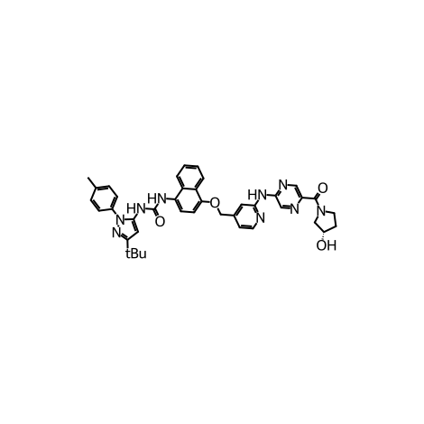 Cc1ccc(-n2nc(C(C)(C)C)cc2NC(=O)Nc2ccc(OCc3ccnc(Nc4cnc(C(=O)N5CC[C@H](O)C5)cn4)c3)c3ccccc23)cc1